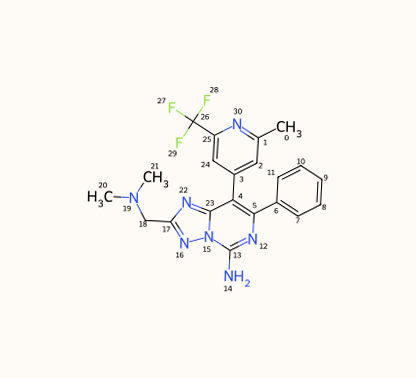 Cc1cc(-c2c(-c3ccccc3)nc(N)n3nc(CN(C)C)nc23)cc(C(F)(F)F)n1